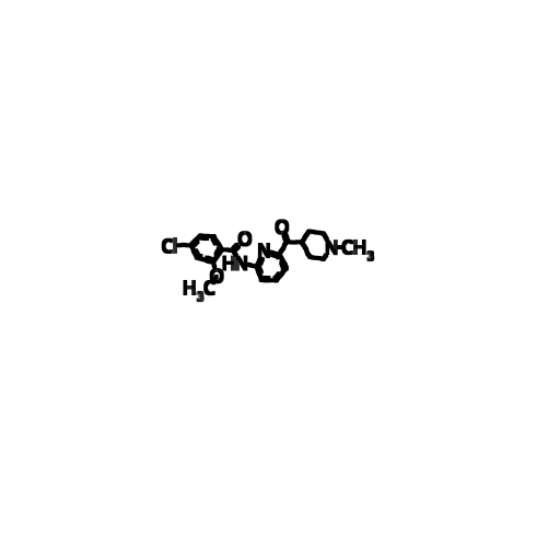 COc1cc(Cl)ccc1C(=O)Nc1cccc(C(=O)C2CCN(C)CC2)n1